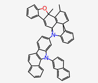 CC1C=CC2(C)C3=C1C1(C)Oc4ccccc4C1=CC3(C)N(c1ccc3c4ccc5ccccc5c4n(-c4ccc5ccccc5c4)c3c1)c1ccccc12